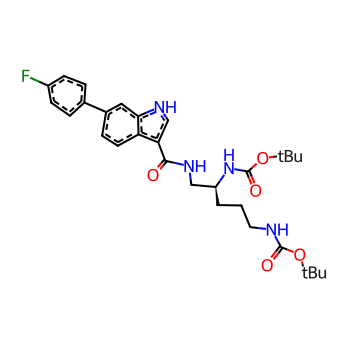 CC(C)(C)OC(=O)NCCC[C@@H](CNC(=O)c1c[nH]c2cc(-c3ccc(F)cc3)ccc12)NC(=O)OC(C)(C)C